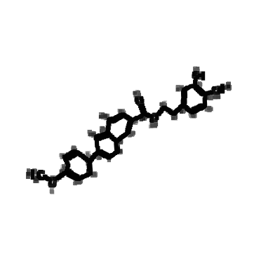 COc1ccc(-c2ccc3cc(C(=O)OCCc4ccc(O)c(O)c4)ccc3c2)cc1